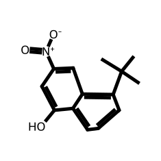 CC(C)(C)c1cccc2c(O)cc([N+](=O)[O-])cc12